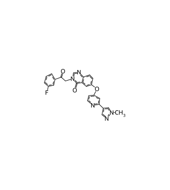 Cn1cc(-c2cc(Oc3ccc4ncn(CC(=O)c5cccc(F)c5)c(=O)c4c3)ccn2)cn1